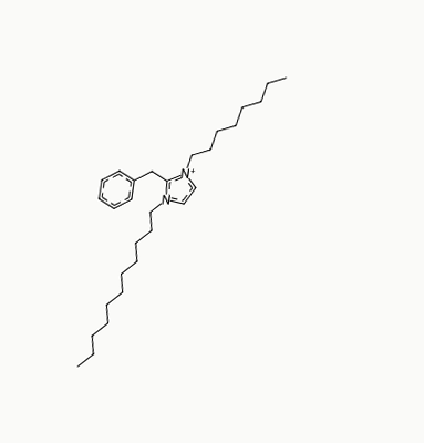 CCCCCCCCCCCn1cc[n+](CCCCCCCC)c1Cc1ccccc1